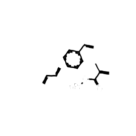 C=C(C)C(=O)OCCC.C=CC=C.C=Cc1ccccc1